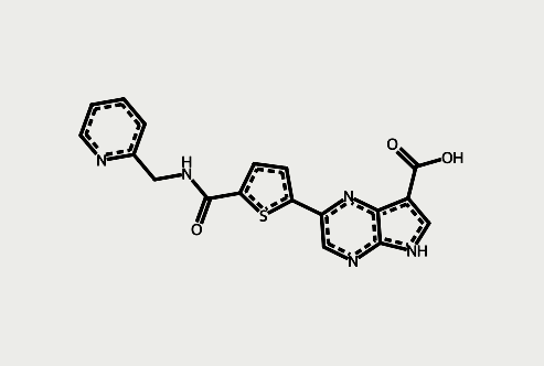 O=C(NCc1ccccn1)c1ccc(-c2cnc3[nH]cc(C(=O)O)c3n2)s1